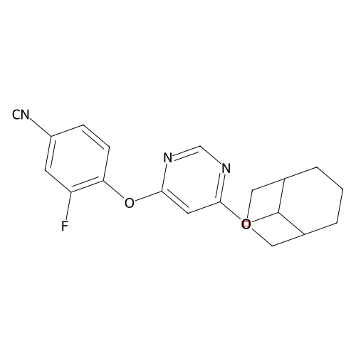 [C-]#[N+]c1ccc(Oc2cc(OC3C4CCCC3COC4)ncn2)c(F)c1